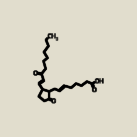 CCCCCCCC(=O)C=CC1CCC(=O)C1CC=CCCCCC(=O)O